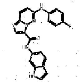 O=C(Nc1ccc2cc[nH]c2c1)c1cnc2ccc(Nc3ccc(F)cc3)nn12